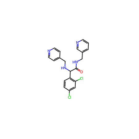 O=C(NCc1cccnc1)C(NCc1ccncc1)c1ccc(Cl)cc1Cl